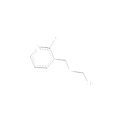 CCOCc1cccnc1F